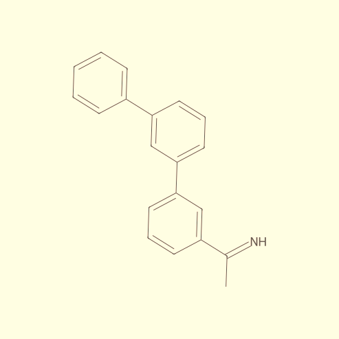 CC(=N)c1cccc(-c2cccc(-c3ccccc3)c2)c1